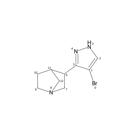 Brc1c[nH]nc1C1CN2CCC1C2